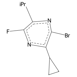 CC(C)c1nc(Br)c(C2CC2)nc1F